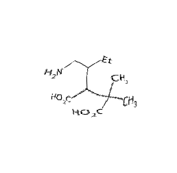 CCC(CN)C(C(=O)O)C(C)(C)C(=O)O